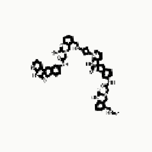 CC(C)NCc1ccccc1CN(CC(=O)Nc1ccc2c(c1)CC1(C2)C(=O)Nc2c1ccc[n+]2C1CC(NCc2ccccc2CN(CC(=O)Nc2ccc3c(c2)CC2(C3)C(=O)Nc3ncccc32)C(=O)C(C)(C)C)C1)C(=O)C(C)(C)C